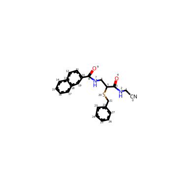 N#CCNC(=O)C(CNC(=O)c1ccc2ccccc2c1)SCc1ccccc1